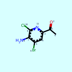 CC(=O)c1cc(Br)c(N)c(Cl)n1